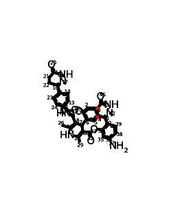 COc1ccccc1C1C(C(=O)Nc2ccc(C3=NNC(=O)CC3)cc2)=C(C)NC(C)=C1C(=O)Oc1cc(N)ccc1C1=NNC(=O)CC1